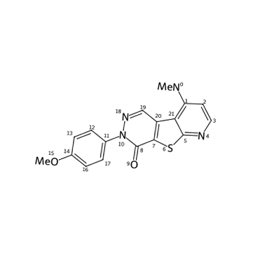 CNc1ccnc2sc3c(=O)n(-c4ccc(OC)cc4)ncc3c12